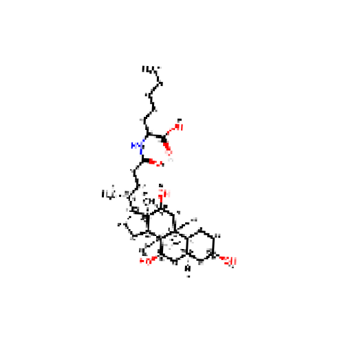 CCCCCC(NC(=O)CC[C@@H](C)[C@H]1CCC2[C@@H]3[C@H](O)C[C@@H]4C[C@H](O)CC[C@]4(C)[C@H]3C[C@H](O)[C@@]21C)C(=O)O